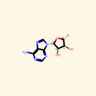 C[C@H]1O[C@@H]([N+]2C=Nc3c(N)ncnc32)[C@H](O)[C@@H]1O